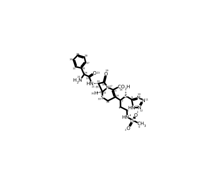 CS(=O)(=O)NCCC(Sc1nnn[nH]1)C1=C(C(=O)O)N2C(=O)[C@@H](NC(=O)C(N)c3ccccc3)[C@@H]2SC1